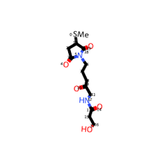 CSC1CC(=O)N(CCCC(=O)CNC(=O)CCO)C1=O